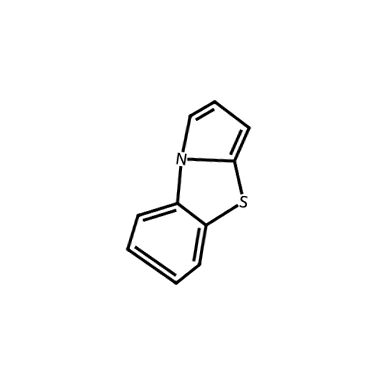 c1ccc2c(c1)sc1cccn12